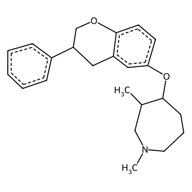 CC1CN(C)CCCC1Oc1ccc2c(c1)CC(c1ccccc1)CO2